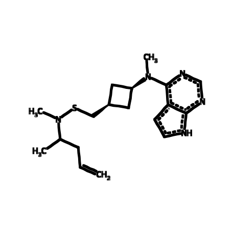 C=CCC(C)N(C)SC[C@H]1C[C@@H](N(C)c2ncnc3[nH]ccc23)C1